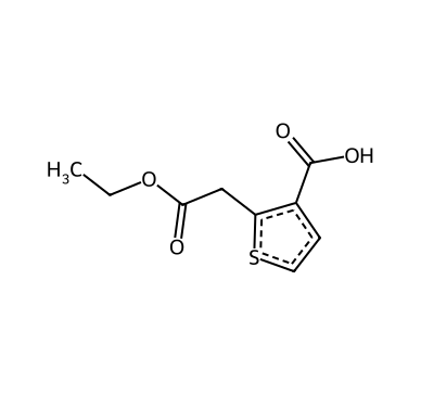 CCOC(=O)Cc1sccc1C(=O)O